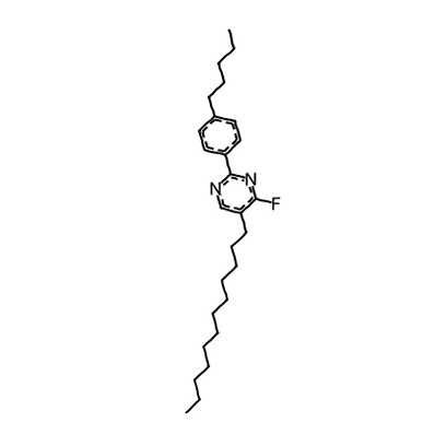 CCCCCCCCCCCCc1cnc(-c2ccc(CCCCC)cc2)nc1F